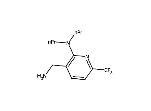 CCCN(CCC)c1nc(C(F)(F)F)ccc1CN